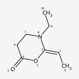 C/C=C1\OC(=O)CCN1CC